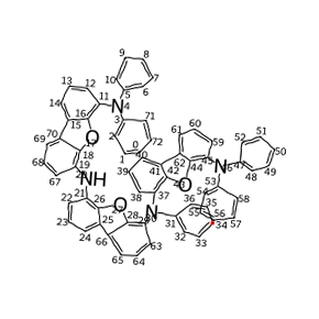 c1ccc(N(c2ccccc2)c2cccc3c2oc2c(Nc4cccc5c4oc4c(N(c6ccccc6)c6cccc7c6oc6c(N(c8ccccc8)c8ccccc8)cccc67)cccc45)cccc23)cc1